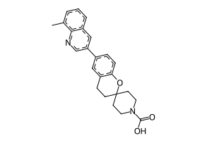 Cc1cccc2cc(-c3ccc4c(c3)CCC3(CCN(C(=O)O)CC3)O4)cnc12